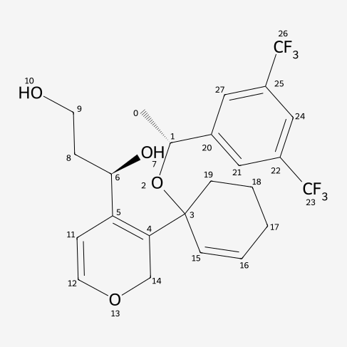 C[C@@H](OC1(C2=C([C@H](O)CCO)C=COC2)C=CCCC1)c1cc(C(F)(F)F)cc(C(F)(F)F)c1